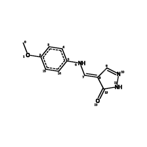 COc1ccc(NC=C2C=NNC2=O)cc1